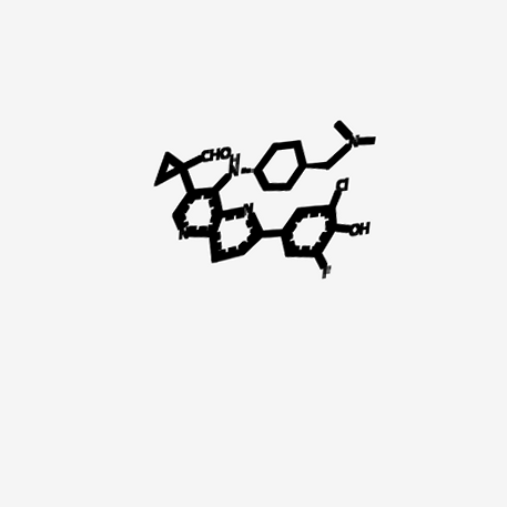 CN(C)C[C@H]1CC[C@H](Nc2c(C3(C=O)CC3)cnc3ccc(-c4cc(F)c(O)c(Cl)c4)nc23)CC1